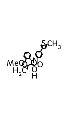 C=CC(=O)C1=C(O)C(=O)N(c2ccc(-c3csc(C)c3)cc2)[C@@H]1c1ccccc1COC